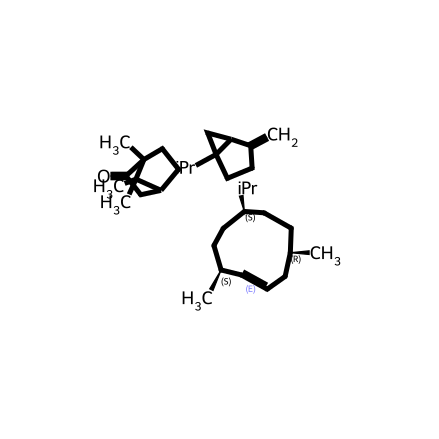 C=C1CCC2(C(C)C)CC12.CC(C)[C@H]1CC[C@@H](C)C/C=C/[C@@H](C)CC1.CC12CCC(CC1=O)C2(C)C